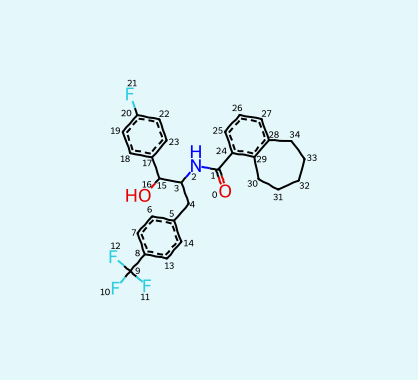 O=C(NC(Cc1ccc(C(F)(F)F)cc1)C(O)c1ccc(F)cc1)c1cccc2c1CCCCC2